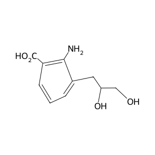 Nc1c(CC(O)CO)cccc1C(=O)O